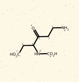 NCCC(=O)C(CC(=O)O)NC(=O)O